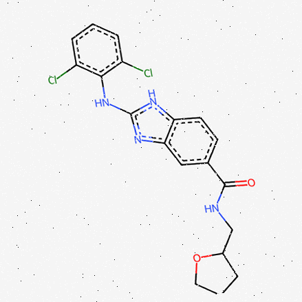 O=C(NCC1CCCO1)c1ccc2[nH]c(Nc3c(Cl)cccc3Cl)nc2c1